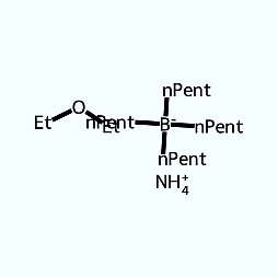 CCCCC[B-](CCCCC)(CCCCC)CCCCC.CCOCC.[NH4+]